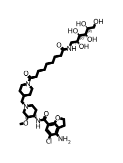 CO[C@H]1CN(CC2CCN(C(=O)CCCCCCCC(=O)NC[C@H](O)[C@@H](O)[C@H](O)[C@H](O)CO)CC2)CC[C@H]1NC(=O)c1cc(Cl)c(N)c2c1OCC2